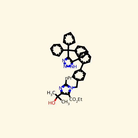 CCCc1nc(C(C)(C)O)c(C(=O)OCC)n1Cc1ccc(-c2ccccc2-c2[nH]nnc2C(c2ccccc2)(c2ccccc2)c2ccccc2)cc1